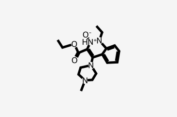 CCOC(=O)C1=C(N2CCN(C)CC2)c2ccccc2N(CC)[NH+]1[O-]